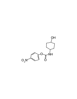 O=C(NC1CCC(O)CC1)Oc1ccc([N+](=O)[O-])cc1